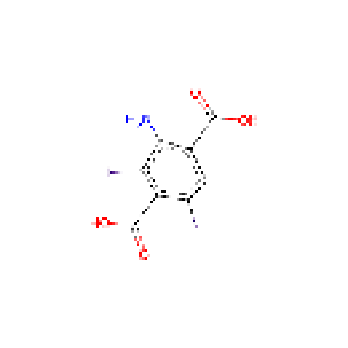 Nc1c(C(=O)O)cc(I)c(C(=O)O)c1I